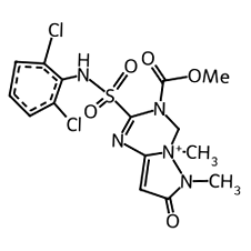 COC(=O)N1C[N+]2(C)C(=CC(=O)N2C)N=C1S(=O)(=O)Nc1c(Cl)cccc1Cl